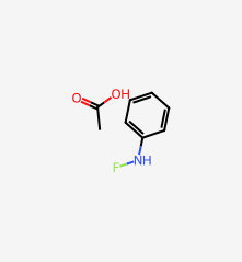 CC(=O)O.FNc1ccccc1